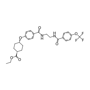 CCOC(=O)[C@H]1CC[C@@H](Oc2ccc(C(=O)NCCNC(=O)c3ccc(OC(F)(F)F)cc3)cc2)CC1